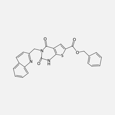 O=C(OCc1ccccc1)c1cc2c(=O)n(Cc3ccc4ccccc4n3)c(=O)[nH]c2s1